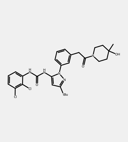 CC1(O)CCN(C(=O)Cc2cccc(-n3nc(C(C)(C)C)cc3NC(=O)Nc3cccc(Cl)c3Cl)c2)CC1